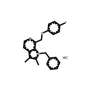 Cc1c(C)n(Cc2ccccc2)c2c(COc3ccc(F)cc3)nccc12.Cl